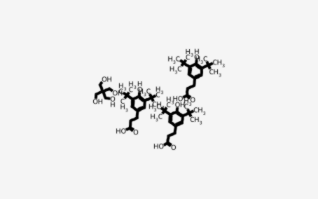 CC(C)(C)c1cc(CCC(=O)O)cc(C(C)(C)C)c1O.CC(C)(C)c1cc(CCC(=O)O)cc(C(C)(C)C)c1O.CC(C)(C)c1cc(CCC(=O)O)cc(C(C)(C)C)c1O.OCC(CO)(CO)CO